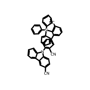 N#Cc1ccc2c(c1)c1ccccc1n2-c1ccc(-c2cccc(C#N)c2[Si](c2ccccc2)(c2ccccc2)c2ccccc2)cc1C#N